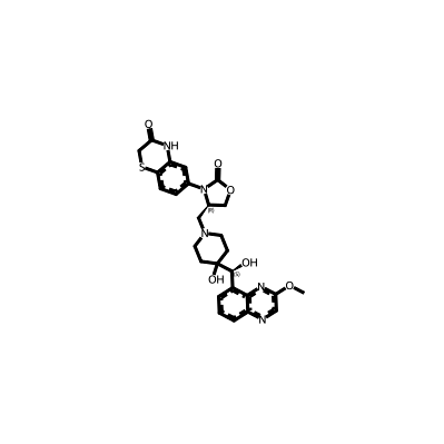 COc1cnc2cccc([C@H](O)C3(O)CCN(C[C@@H]4COC(=O)N4c4ccc5c(c4)NC(=O)CS5)CC3)c2n1